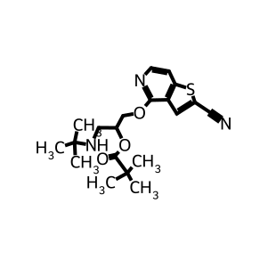 CC(C)(C)NCC(COc1nccc2sc(C#N)cc12)OC(=O)C(C)(C)C